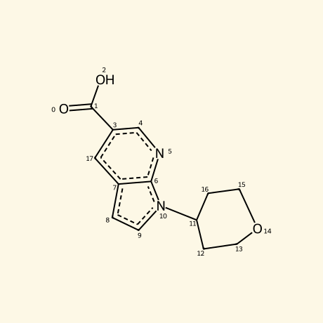 O=C(O)c1cnc2c(ccn2C2CCOCC2)c1